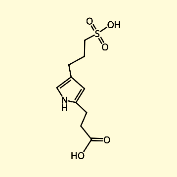 O=C(O)CCc1cc(CCCS(=O)(=O)O)c[nH]1